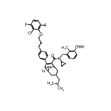 COc1cccc(CN(C(=O)C2=C(c3ccc(CCCOc4c(F)ccc(F)c4Cl)cc3)C[C@@H]3CC(CN(C)C)CC2N3)C2CC2)c1C